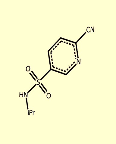 CC(C)NS(=O)(=O)c1ccc(C#N)nc1